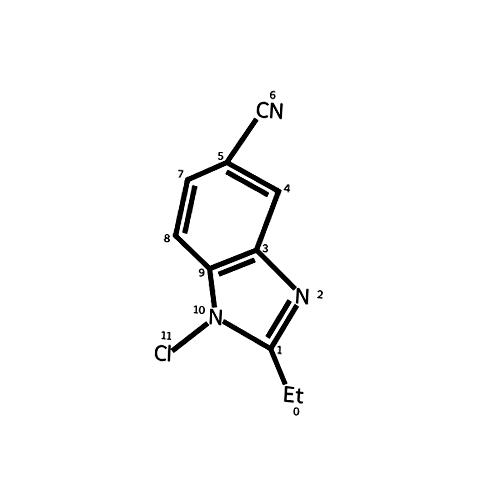 CCc1nc2cc(C#N)ccc2n1Cl